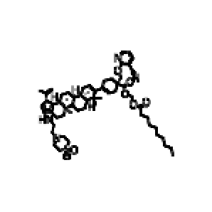 C=C(C)[C@@H]1CC[C@]2(NCCN3CCS(=O)(=O)CC3)CC[C@]3(C)[C@H](CC[C@@H]4[C@@]5(C)CC=C(C6=CC[C@@](COc7ncccc7C#N)(C(=O)OCOC(=O)CCCCCCCCC)CC6)C(C)(C)[C@@H]5CC[C@]43C)[C@@H]12